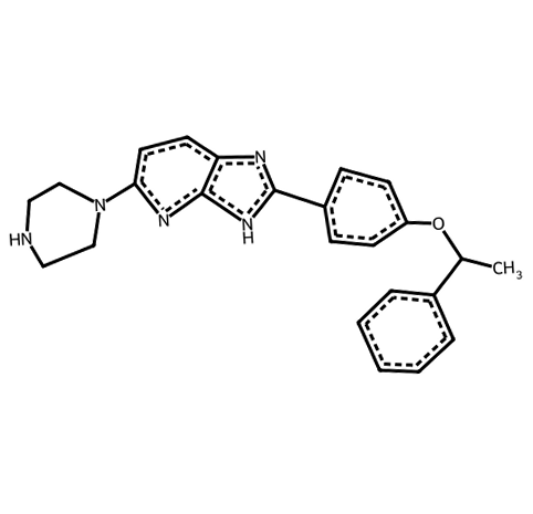 CC(Oc1ccc(-c2nc3ccc(N4CCNCC4)nc3[nH]2)cc1)c1ccccc1